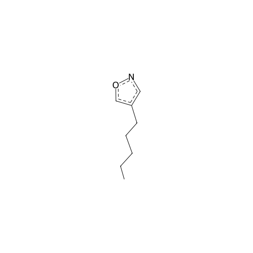 CCCCCc1cnoc1